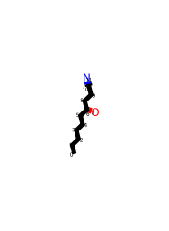 CCCCCCC(=O)CCC#N